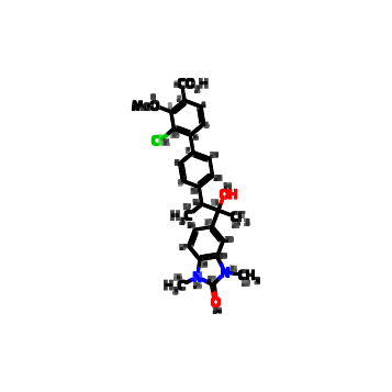 COc1c(C(=O)O)ccc(-c2ccc(C(C)C(O)(c3ccc4c(c3)n(C)c(=O)n4C)C(F)(F)F)cc2)c1Cl